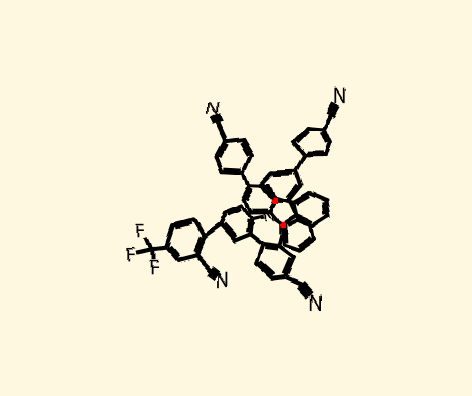 N#Cc1ccc(-c2ccc3c(c2)c2ccccc2n3-c2ccc(-c3ccc(C(F)(F)F)cc3C#N)cc2-c2ccc(C#N)cc2-n2c3ccccc3c3cc(-c4ccc(C#N)cc4)ccc32)cc1